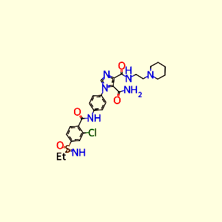 CCS(=N)(=O)c1ccc(C(=O)Nc2ccc(-n3cnc(C(=O)NCCN4CCCCC4)c3C(N)=O)cc2)c(Cl)c1